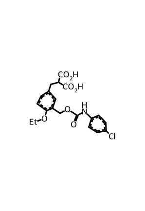 CCOc1ccc(CC(C(=O)O)C(=O)O)cc1COC(=O)Nc1ccc(Cl)cc1